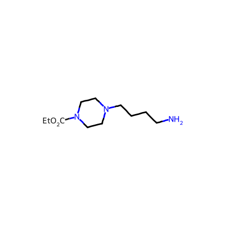 CCOC(=O)N1CCN(CCCCN)CC1